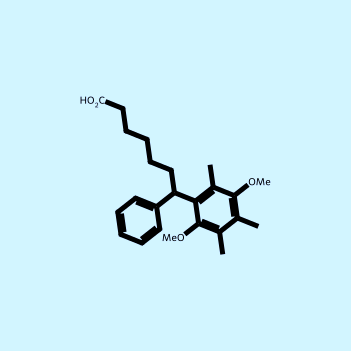 COc1c(C)c(C)c(OC)c(C(CCCCCC(=O)O)c2ccccc2)c1C